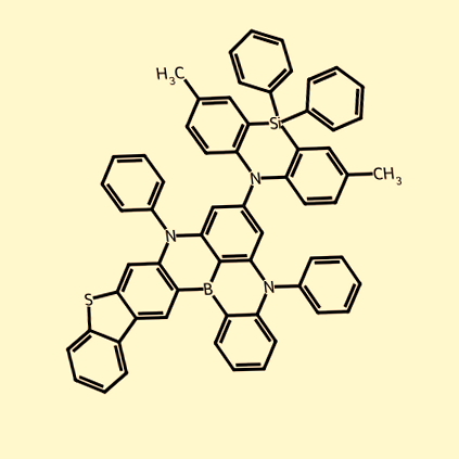 Cc1ccc2c(c1)[Si](c1ccccc1)(c1ccccc1)c1cc(C)ccc1N2c1cc2c3c(c1)N(c1ccccc1)c1cc4sc5ccccc5c4cc1B3c1ccccc1N2c1ccccc1